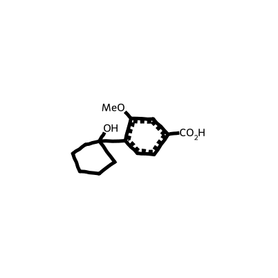 COc1cc(C(=O)O)ccc1C1(O)CCCCC1